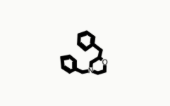 c1ccc(CC2CN(Cc3ccccc3)CCO2)cc1